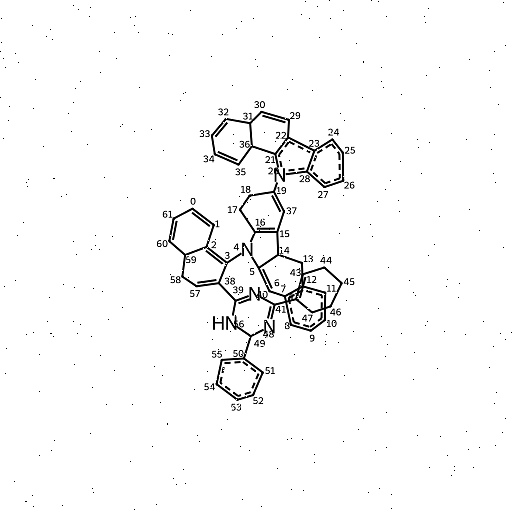 C1=CC2=C(N3C4=Cc5ccccc5CC4C4=C3CCC(n3c5c(c6ccccc63)C=CC3C=CC=CC53)=C4)C(C3=NC(C4=CCCCC4)=NC(c4ccccc4)N3)=CCC2C=C1